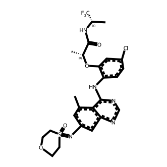 Cc1cc(N=S2(=O)CCOCC2)cc2ncnc(Nc3ccc(Cl)cc3O[C@H](C)C(=O)N[C@@H](C)C(F)(F)F)c12